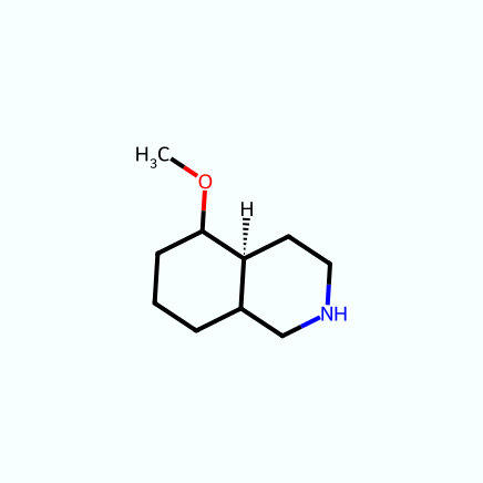 COC1CCCC2CNCC[C@@H]21